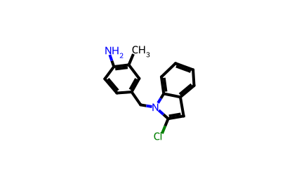 Cc1cc(Cn2c(Cl)cc3ccccc32)ccc1N